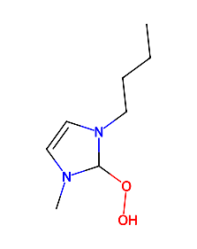 CCCCN1C=CN(C)C1OO